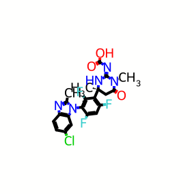 Cc1nc2ccc(Cl)cc2n1-c1c(F)cc(F)c([C@]2(C)CC(=O)N(C)/C(=N/C(=O)O)N2)c1F